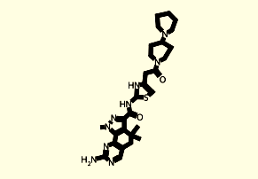 Cn1nc(C(=O)NC2NC(CC(=O)N3CCC(N4CCCCC4)CC3)=CS2)c2c1-c1nc(N)ncc1CC2(C)C